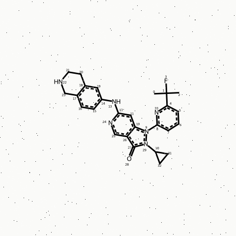 CC(C)(F)c1cccc(-n2c3cc(Nc4ccc5c(c4)CCNC5)ncc3c(=O)n2C2CC2)n1